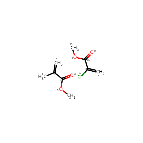 C=C(C)C(=O)OC.C=C(Cl)C(=O)OC